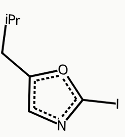 CC(C)Cc1cnc(I)o1